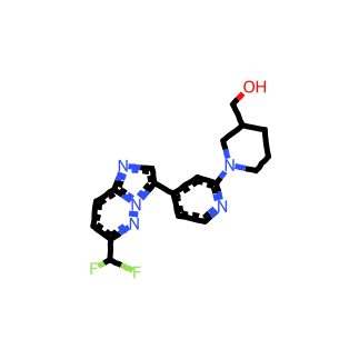 OCC1CCCN(c2cc(-c3cnc4ccc(C(F)F)nn34)ccn2)C1